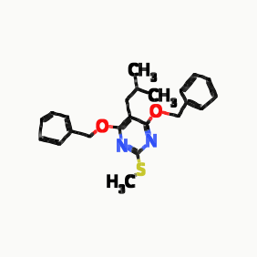 CSc1nc(OCc2ccccc2)c(CC(C)C)c(OCc2ccccc2)n1